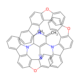 C=C(/C(=C(/C#N)C(CC)n1c2ccccc2c2ccc3oc4ccccc4c3c21)n1c2ccccc2c2ccc3oc4ccccc4c3c21)n1c2ccccc2c2ccc3oc4ccccc4c3c21